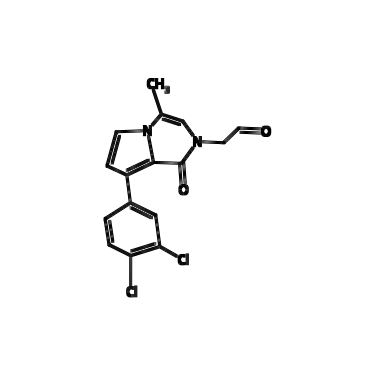 Cc1cn(CC=O)c(=O)c2c(-c3ccc(Cl)c(Cl)c3)ccn12